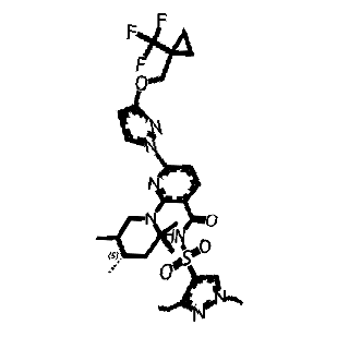 Cc1nn(C)cc1S(=O)(=O)NC(=O)c1ccc(-n2ccc(OCC3(C(F)(F)F)CC3)n2)nc1N1CC(C)[C@@H](C)CC1(C)C